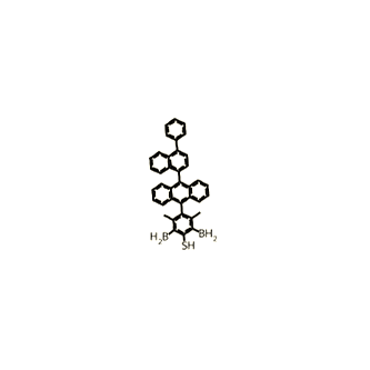 Bc1c(C)c(-c2c3ccccc3c(-c3ccc(-c4ccccc4)c4ccccc34)c3ccccc23)c(C)c(B)c1S